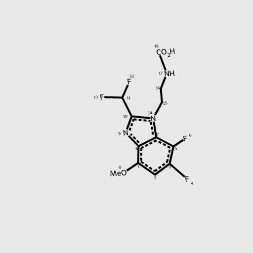 COc1cc(F)c(F)c2c1nc(C(F)F)n2CCNC(=O)O